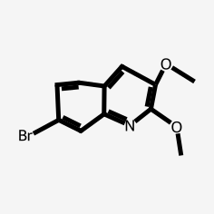 COc1cc2ccc(Br)cc2nc1OC